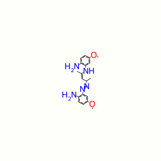 COc1ccc(N)c(N=NC(C)/C=C(/C)Nc2cc(OC)ccc2N)c1